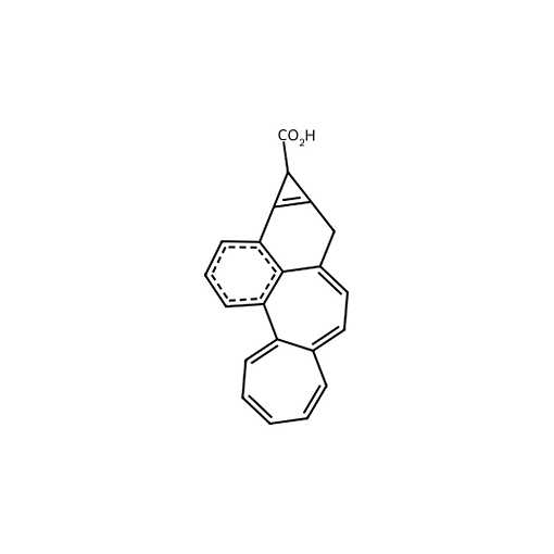 O=C(O)C1C2=C1c1cccc3c1C(=CC=C1C=CC=CC=C13)C2